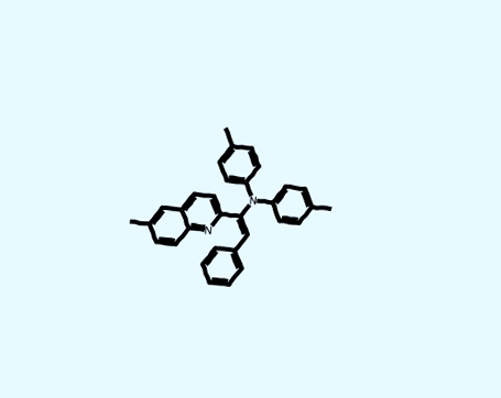 Cc1ccc(N(C(=Cc2ccccc2)c2ccc3cc(C)ccc3n2)c2ccc(C)cc2)cc1